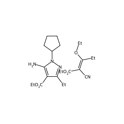 CCOC(=O)C(C#N)=C(CC)OCC.CCOC(=O)c1c(CC)nn(C2CCCC2)c1N